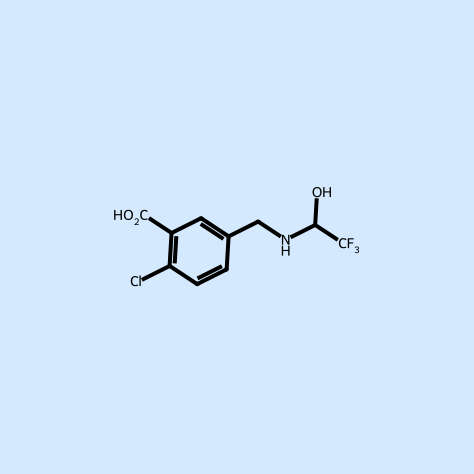 O=C(O)c1cc(CNC(O)C(F)(F)F)ccc1Cl